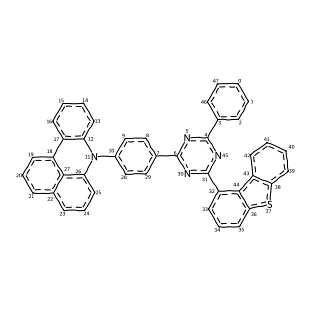 c1ccc(-c2nc(-c3ccc(N4c5ccccc5-c5cccc6cccc4c56)cc3)nc(-c3cccc4sc5ccccc5c34)n2)cc1